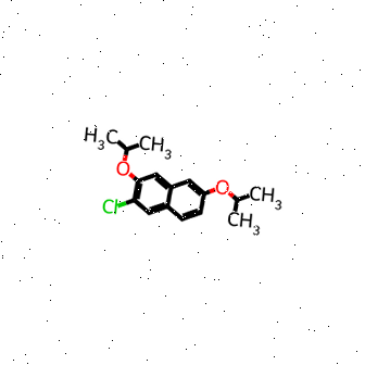 CC(C)Oc1ccc2cc(Cl)c(OC(C)C)cc2c1